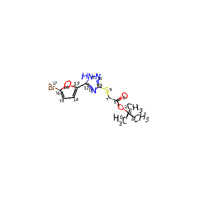 CC(C)(C)OC(=O)CSc1n[nH]c(-c2ccc(Br)o2)n1